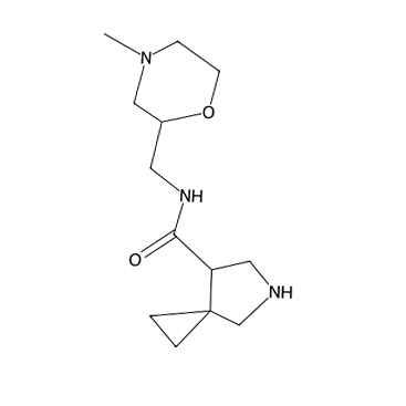 CN1CCOC(CNC(=O)C2CNCC23CC3)C1